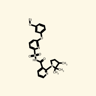 CCOc1cccc(Oc2cccc(S(=O)(=O)NC(=O)c3cccnc3N3CCC(C)C3(C)C)n2)c1